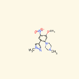 COc1cc(N2CCN(C)CC2)c(-c2cnn(C)c2)cc1[N+](=O)[O-]